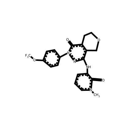 Cn1cccc(Nc2nn(-c3ccc(OC(F)(F)F)cc3)c(=O)c3c2COCC3)c1=O